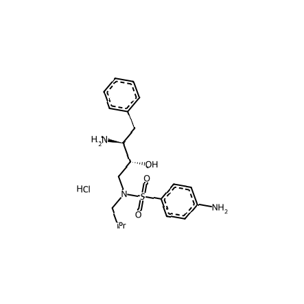 CC(C)CN(C[C@@H](O)[C@@H](N)Cc1ccccc1)S(=O)(=O)c1ccc(N)cc1.Cl